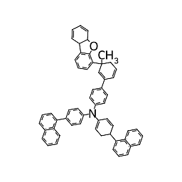 CC1(c2cccc3c2OC2C=CC=CC32)C=C(c2ccc(N(C3=CCC(c4cccc5ccccc45)C=C3)c3ccc(-c4cccc5ccccc45)cc3)cc2)C=CC1